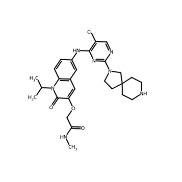 CNC(=O)COc1cc2cc(Nc3nc(N4CCC5(CCNCC5)C4)ncc3Cl)ccc2n(C(C)C)c1=O